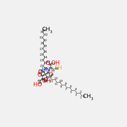 CCCCCCCCCCCCCCCC(=O)C(C(=O)CCCCCCCCCCCCCCC)(C(=O)NC(CS)C(=O)O)C(=O)[C@@H](O)CO